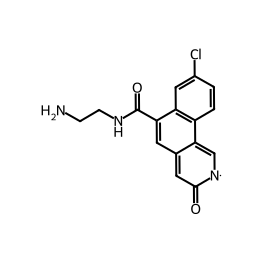 NCCNC(=O)c1cc2c(c3ccc(Cl)cc13)=C[N]C(=O)C=2